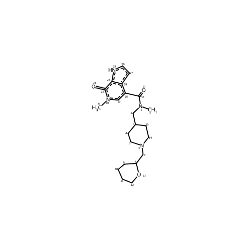 CN(CC1CCN(CC2CCCCO2)CC1)C(=O)c1cn(C)c(=O)c2[nH]ccc12